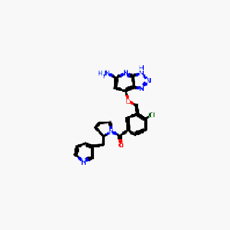 Nc1cc(OCc2cc(C(=O)N3CCCC3Cc3cccnc3)ccc2Cl)c2nn[nH]c2n1